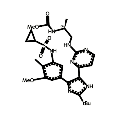 COC(=O)N[C@@H](C)CNc1nccc(-c2[nH]c(C(C)(C)C)nc2-c2cc(NS(=O)(=O)C3CC3)c(C)c(OC)c2)n1